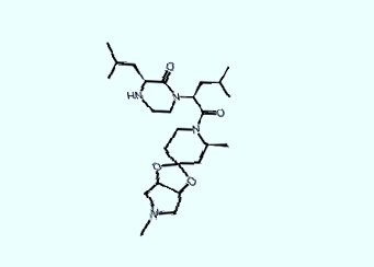 CC(C)C[C@@H]1NCCN([C@@H](CC(C)C)C(=O)N2CCC3(C[C@@H]2C)OC2CN(C)CC2O3)C1=O